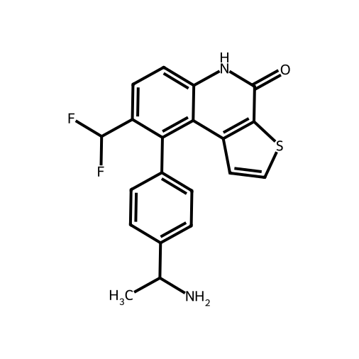 CC(N)c1ccc(-c2c(C(F)F)ccc3[nH]c(=O)c4sccc4c23)cc1